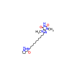 Cn1c(CCCCCCCCCCCNC(=O)C2CCCN2)nc2c1c(=O)[nH]c(=O)n2C